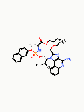 CCCCOC(=O)[C@H](C)NP(=O)(OC[C@@H](C(C)C)n1c(COCC)nc2c(N)nc3ccccc3c21)Oc1ccc2ccccc2c1